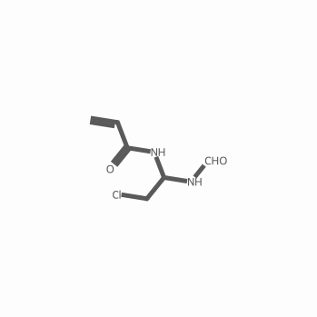 C=CC(=O)NC(CCl)NC=O